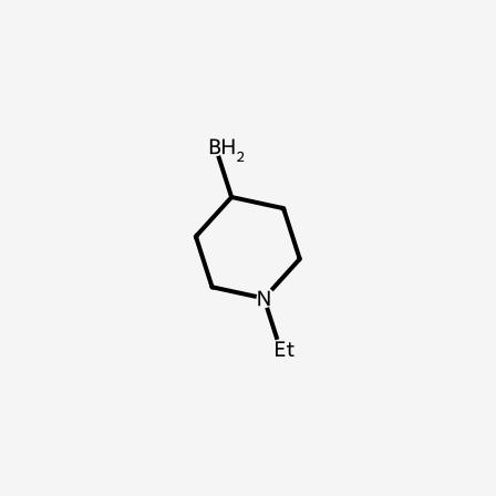 BC1CCN(CC)CC1